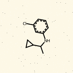 CC(Nc1cccc(Cl)c1)C1CC1